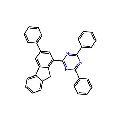 c1ccc(-c2cc(-c3nc(-c4ccccc4)nc(-c4ccccc4)n3)c3c(c2)-c2ccccc2C3)cc1